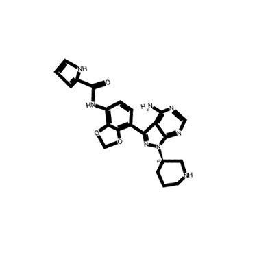 Nc1ncnc2c1c(-c1ccc(NC(=O)c3ccc[nH]3)c3c1OCO3)nn2[C@@H]1CCCNC1